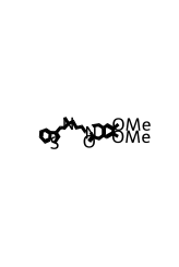 COc1cc2c(cc1OC)CC(=O)N(CCCCN(C)CCc1csc3ccccc13)CC2